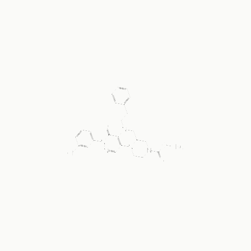 CC(C)(C)OC(=O)N1CCN2c3cnn(-c4cccc(Cl)c4)c(=O)c3N(CCc3ccccc3)CC2C1